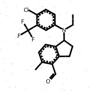 CCN(c1ccc(Cl)c(C(F)(F)F)c1)C1CCc2c1ccc(C)c2C=O